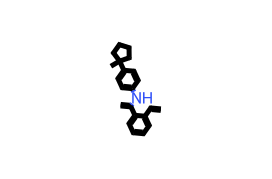 C=Cc1ccccc1C(=C)Nc1ccc(C2(C)CCCC2)cc1